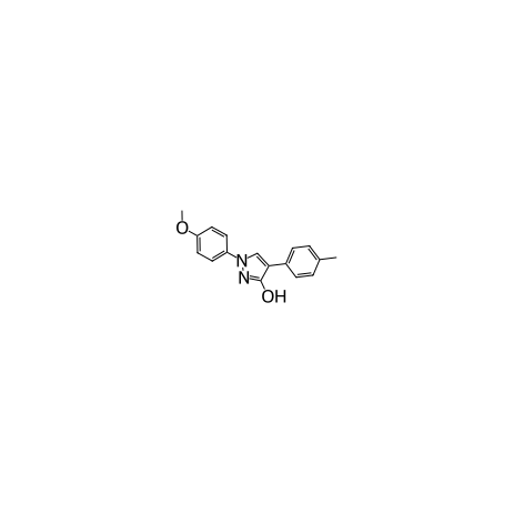 COc1ccc(-n2cc(-c3ccc(C)cc3)c(O)n2)cc1